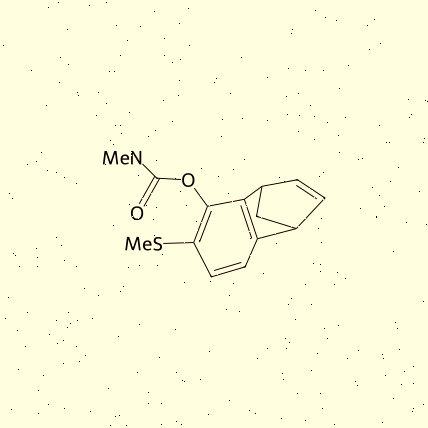 CNC(=O)Oc1c(SC)ccc2c1C1C=CC2C1